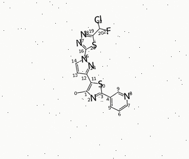 Cc1nc(-c2cccnc2)sc1-c1ccn(-c2nnc(C(F)Cl)s2)n1